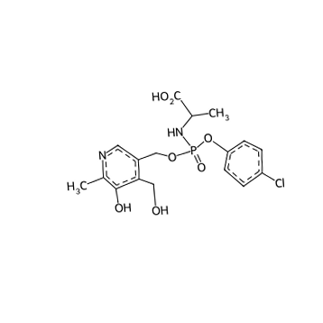 Cc1ncc(COP(=O)(NC(C)C(=O)O)Oc2ccc(Cl)cc2)c(CO)c1O